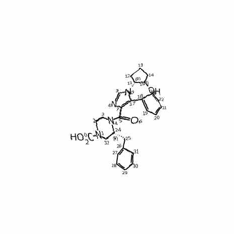 O=C(O)N1CCN(C(=O)c2ncn([C@@H]3CCC[C@H]3O)c2-c2ccccc2)[C@H](Cc2ccccc2)C1